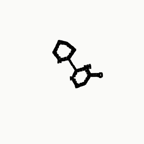 O=c1ccnc(-c2ccccn2)[nH]1